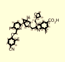 N#Cc1ccc(OCc2nc([C@@]34C[C@@H]3CN(Cc3nc5c(F)cc(C(=O)O)cc5n3C[C@@H]3CCO3)C4)ccc2F)c(F)c1